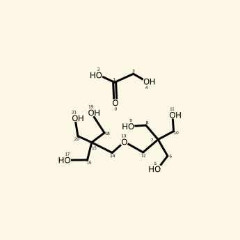 O=C(O)CO.OCC(CO)(CO)COCC(CO)(CO)CO